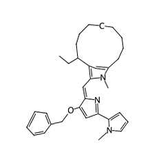 CCC1CCCCCCCCc2cc1c(C=C1N=C(c3cccn3C)C=C1OCc1ccccc1)n2C